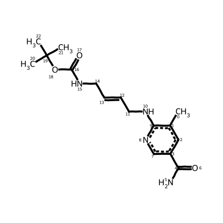 Cc1cc(C(N)=O)cnc1NC/C=C/CNC(=O)OC(C)(C)C